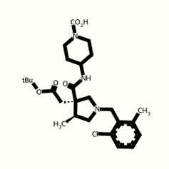 Cc1cccc(Cl)c1CN1C[C@@H](C)[C@@](CC(=O)OC(C)(C)C)(C(=O)NC2CCN(C(=O)O)CC2)C1